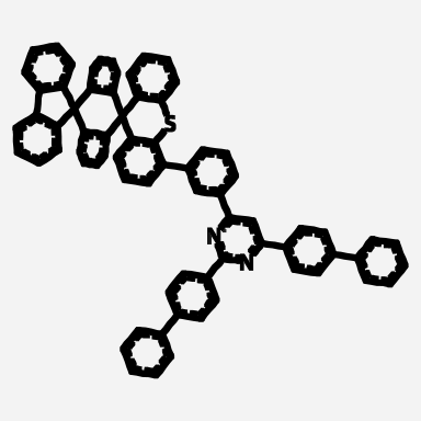 c1ccc(-c2ccc(-c3cc(-c4cccc(-c5cccc6c5Sc5ccccc5C65c6ccccc6C6(c7ccccc7-c7ccccc76)c6ccccc65)c4)nc(-c4ccc(-c5ccccc5)cc4)n3)cc2)cc1